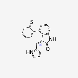 O=C1Nc2cccc(C3=CC=CCC3=S)c2/C1=C/c1ccc[nH]1